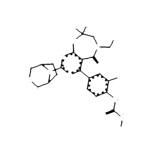 CCN1CC(C)(C)Oc2nc(N3C4CCC3COC4)nc(-c3ccc(NC(=O)NC)c(F)c3)c2C1=O